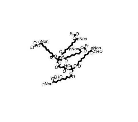 CCCCCCCCCC(CCCCCCCC(=O)OCC(CO)(COC(=O)CCCCCCCC(CCCCCCCCC)OC=O)COC(=O)CCC(=O)OCC(COC(=O)CCCCCCCC(CCCCCCCCC)OC(=O)CC)(COC(=O)CCCCCCCC(CCCCCCCCC)OC(=O)CC)COC(=O)CCCCCCCC(CCCCCCCCC)OC(=O)CC)OC=O